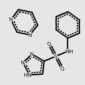 O=S(=O)(Nc1ccccc1)c1c[nH]nn1.c1cncnc1